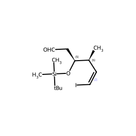 C[C@@H](/C=C\I)[C@H](CC=O)O[Si](C)(C)C(C)(C)C